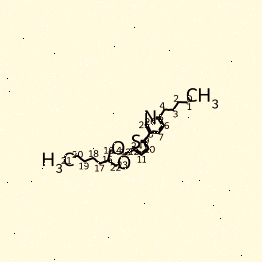 CCCCCc1ccc(-c2ccc(C3OCC(CCCCC)CO3)s2)cn1